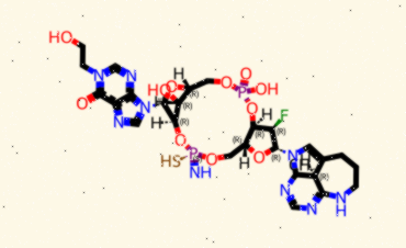 CC12N=CN=C3NCCCC(=CN1[C@@H]1O[C@@H]4CO[P@](=N)(S)O[C@@H]5[C@H](O)[C@@H](COP(=O)(O)O[C@H]4[C@H]1F)O[C@H]5n1cnc4c(=O)n(CCO)cnc41)[C@@H]32